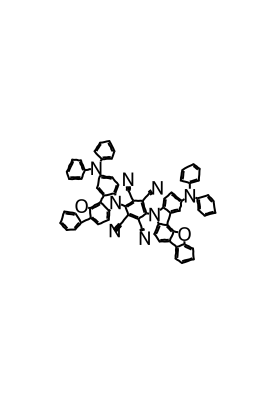 N#Cc1c(C#N)c(-n2c3ccc(N(c4ccccc4)c4ccccc4)cc3c3c4oc5ccccc5c4ccc32)c(C#N)c(C#N)c1-n1c2ccc(N(c3ccccc3)c3ccccc3)cc2c2c3oc4ccccc4c3ccc21